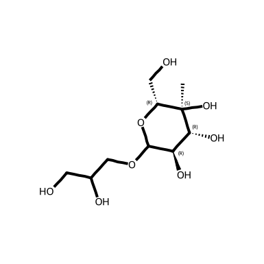 C[C@]1(O)[C@H](O)[C@@H](O)C(OCC(O)CO)O[C@@H]1CO